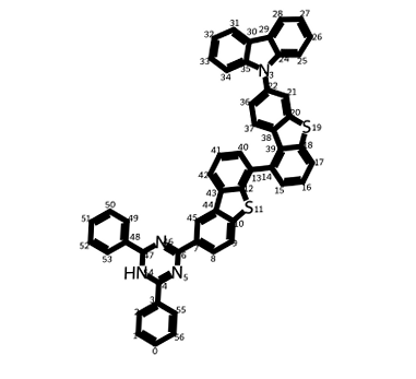 c1ccc(C2=NC(c3ccc4sc5c(-c6cccc7sc8cc(-n9c%10ccccc%10c%10ccccc%109)ccc8c67)cccc5c4c3)=NC(c3ccccc3)N2)cc1